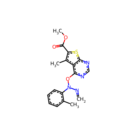 C=NN(Oc1ncnc2sc(C(=O)OC)c(C)c12)c1ccccc1C